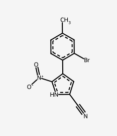 Cc1ccc(-c2cc(C#N)[nH]c2[N+](=O)[O-])c(Br)c1